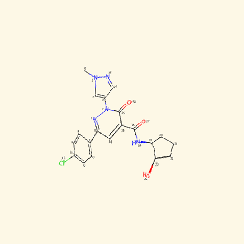 Cn1cc(-n2nc(-c3ccc(Cl)cc3)cc(C(=O)N[C@H]3CCC[C@H]3O)c2=O)cn1